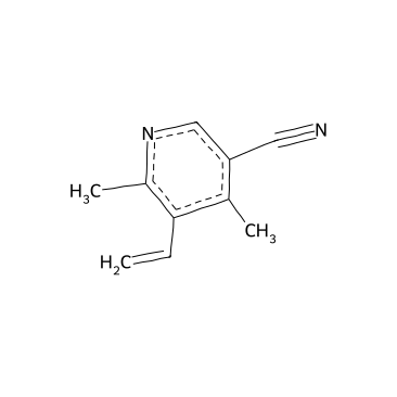 C=Cc1c(C)ncc(C#N)c1C